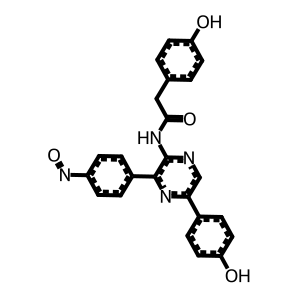 O=Nc1ccc(-c2nc(-c3ccc(O)cc3)cnc2NC(=O)Cc2ccc(O)cc2)cc1